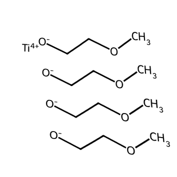 COCC[O-].COCC[O-].COCC[O-].COCC[O-].[Ti+4]